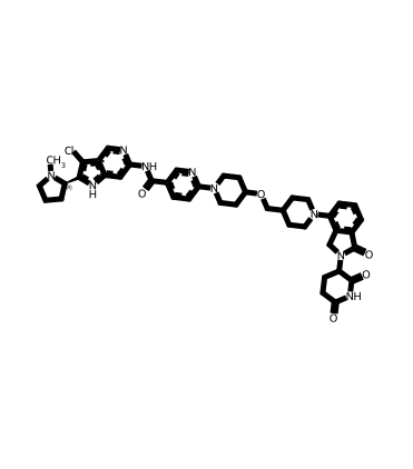 CN1CCC[C@@H]1c1[nH]c2cc(NC(=O)c3ccc(N4CCC(OCC5CCN(c6cccc7c6CN(C6CCC(=O)NC6=O)C7=O)CC5)CC4)nc3)ncc2c1Cl